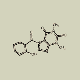 Cn1c(=O)c2c(ncn2C(=O)c2ccccc2O)n(C)c1=O